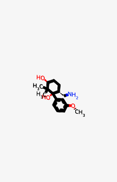 COc1cccc([C@@]2(O)[C@@H](CN)CC[C@H](O)C2(C)C)c1